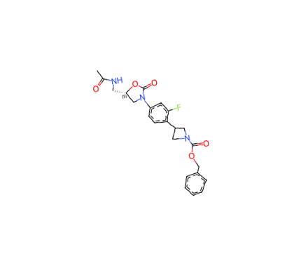 CC(=O)NC[C@H]1CN(c2ccc(C3CN(C(=O)OCc4ccccc4)C3)c(F)c2)C(=O)O1